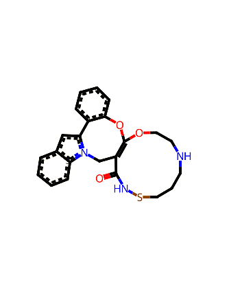 O=C1NSCCCNCCO/C2=C\1Cn1c(cc3ccccc31)-c1ccccc1O2